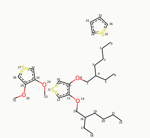 CCCCC(CC)COc1cscc1OCC(CC)CCCC.COc1cscc1OC.c1ccsc1